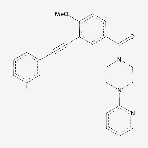 COc1ccc(C(=O)N2CCN(c3ccccn3)CC2)cc1C#Cc1cccc(C)c1